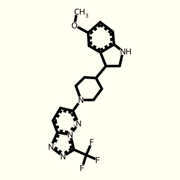 COc1ccc2c(c1)C(C1CCN(c3ccc4nnc(C(F)(F)F)n4n3)CC1)CN2